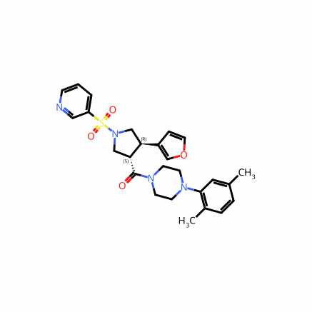 Cc1ccc(C)c(N2CCN(C(=O)[C@@H]3CN(S(=O)(=O)c4cccnc4)C[C@H]3c3ccoc3)CC2)c1